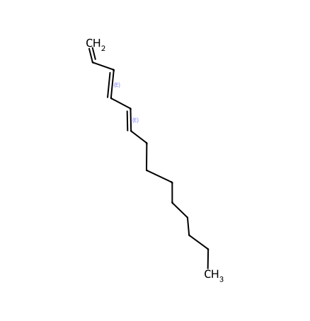 C=C/C=C/C=C/CCCCCCCC